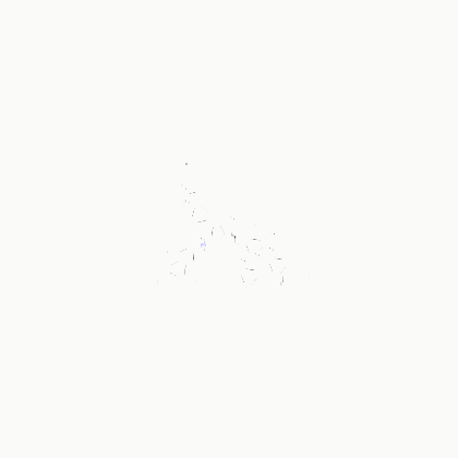 Cc1c(C#N)c(Nc2ccc(Cl)c(S(=O)(=O)O)c2)nc(Nc2ccc(Cl)c(S(=O)(=O)O)c2)c1N=Nc1sc(/N=N/c2cc(S(=O)(=O)O)c3cc(S(=O)(=O)O)cc(S(=O)(=O)O)c3c2)c(-c2ccc(NC(=O)N(CCO)CCO)cc2)c1C#N